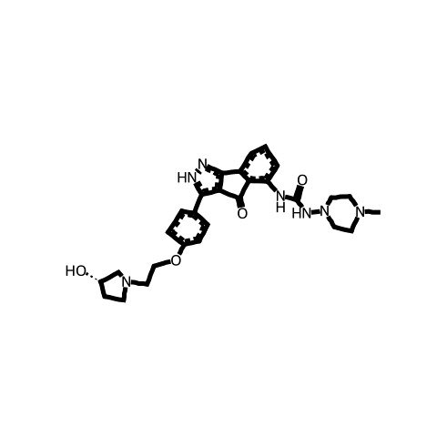 CN1CCN(NC(=O)Nc2cccc3c2C(=O)c2c-3n[nH]c2-c2ccc(OCCN3CC[C@H](O)C3)cc2)CC1